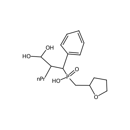 CCCC(C(O)O)C(c1ccccc1)P(=O)(O)CC1CCCO1